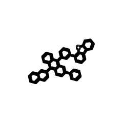 C1=CC2Oc3c(-c4cccc(-c5c6ccccc6c(-c6ccc7ccccc7c6)c6ccc(-c7ccccc7)cc56)c4)cccc3C2C=C1